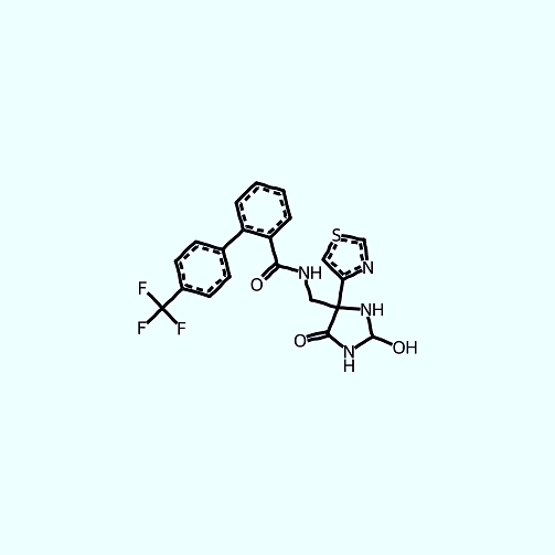 O=C(NCC1(c2cscn2)NC(O)NC1=O)c1ccccc1-c1ccc(C(F)(F)F)cc1